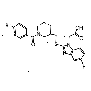 O=C(O)Cn1c(SCC2CCCN(C(=O)c3ccc(Br)cc3)C2)nc2cc(F)ccc21